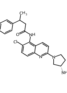 CC(CC(=O)Nc1c(Cl)ccc2nc(N3CC[C@H](N)C3)ccc12)c1ccccc1